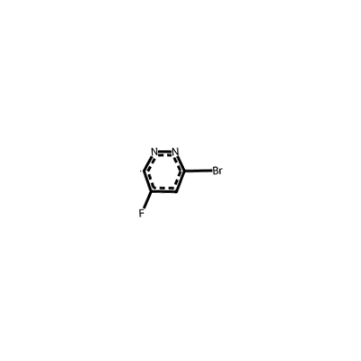 Fc1[c]nnc(Br)c1